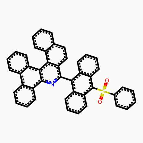 O=S(=O)(c1ccccc1)c1c2ccccc2c(-c2nc3c4ccccc4c4ccccc4c3c3c2ccc2ccccc23)c2ccccc12